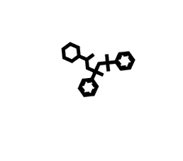 CC(CC(C)(CC(C)(C)c1ccccc1)c1ccccc1)C1CCCCC1